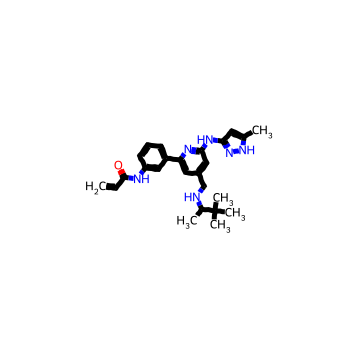 C=CC(=O)Nc1cccc(-c2cc(CNC(C)C(C)(C)C)cc(Nc3cc(C)[nH]n3)n2)c1